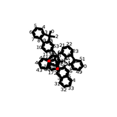 CC1(C)c2ccccc2-c2ccc(N(c3ccccc3)c3cccc4c3[Si](c3ccc5ccccc5c3)(c3ccc5ccccc5c3)c3ccccc3-4)cc21